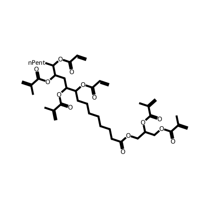 C=CC(=O)OC(CCCCC)C(CC(OC(=O)C(=C)C)C(CCCCCCCC(=O)OCC(COC(=O)C(=C)C)OC(=O)C(=C)C)OC(=O)C=C)OC(=O)C(=C)C